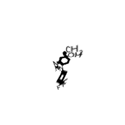 C=CC1(O)CCc2c(nnn2C2CC(F)(F)C2)C1